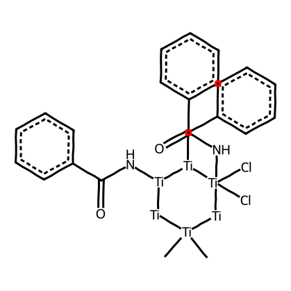 [CH3][Ti]1([CH3])[Ti][Ti]([NH]C(=O)c2ccccc2)[Ti]([CH2]c2ccccc2)[Ti]([Cl])([Cl])([NH]C(=O)c2ccccc2)[Ti]1